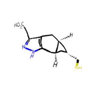 O=C(O)c1n[nH]c2c1C[C@H]1[C@H](CS)[C@@H]21